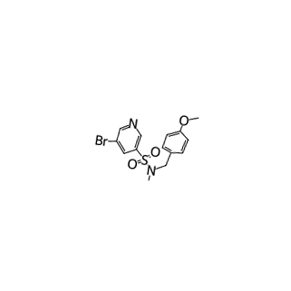 COc1ccc(CN(C)S(=O)(=O)c2cncc(Br)c2)cc1